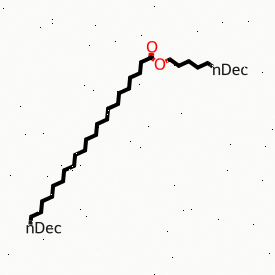 CCCCCCCCCCCCCCCCCCCCCCCCCCCCCCCC(=O)OCCCCCCCCCCCCCCC